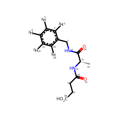 [2H]c1c([2H])c([2H])c(CNC(=O)[C@H](C)NC(=O)CCC(=O)O)c([2H])c1[2H]